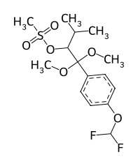 COC(OC)(c1ccc(OC(F)F)cc1)C(OS(C)(=O)=O)C(C)C